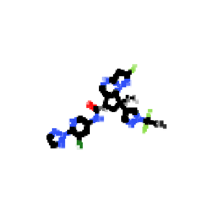 CC(F)(F)n1cc([C@]2(C)C[C@H](C(=O)Nc3cnc(-n4nccn4)c(Cl)c3)c3cnc4cc(F)nn4c32)cn1